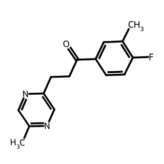 Cc1cnc(CCC(=O)c2ccc(F)c(C)c2)cn1